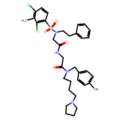 Cc1c(Cl)ccc(S(=O)(=O)N(CCc2ccccc2)CC(=O)NCC(=O)N(CCCCN2CCCC2)Cc2ccc(C#N)cc2)c1Cl